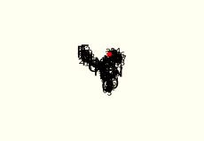 CC(C)(C)OC(=O)N1CCN(c2nc(OCCN3CCC(F)(F)CC3)nc3c2CCN(c2cccc4cccc(Cl)c24)C3)C[C@@H]1CC#N